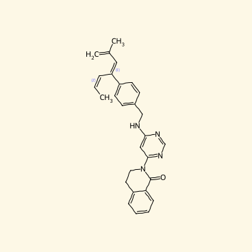 C=C(C)/C=C(\C=C/C)c1ccc(CNc2cc(N3CCc4ccccc4C3=O)ncn2)cc1